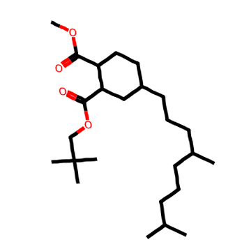 COC(=O)C1CCC(CCCC(C)CCCC(C)C)CC1C(=O)OCC(C)(C)C